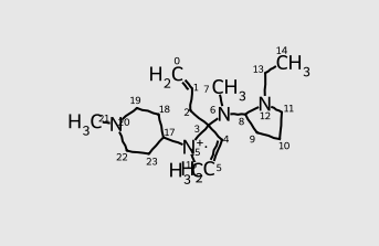 C=CCC(C=C)(N(C)C1CCCN1CC)[N+](C)C1CCN(C)CC1